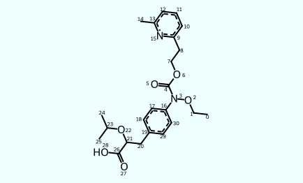 CCON(C(=O)OCCc1cccc(C)n1)c1ccc(CC(OC(C)C)C(=O)O)cc1